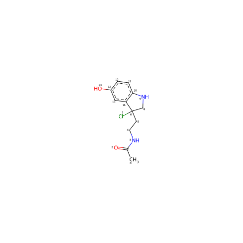 CC(=O)NCCC1(Cl)CNc2ccc(O)cc21